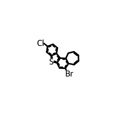 Clc1ccc2c(c1)sc1cc(Br)c3c(c12)CC=CC=C3